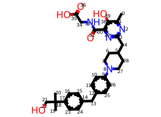 Cc1nc(CC2CCN(c3ccc(Cc4ccc(C(C)(C)CO)cc4)cc3)CC2)nc(C(=O)NCC(=O)O)c1O